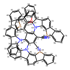 N#Cc1c(C#N)c(-n2c3ccccc3c3ccc4c5ccccc5sc4c32)c(-n2c3ccccc3c3ccc4c5ccccc5sc4c32)c(-c2cccc3c2oc2ccccc23)c1-n1c2ccccc2c2ccc3c4ccccc4sc3c21